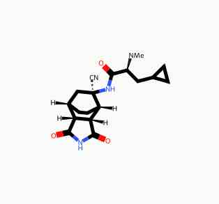 CN[C@@H](CC1CC1)C(=O)N[C@]1(C#N)C[C@@H]2CC[C@H]1[C@@H]1C(=O)NC(=O)[C@H]21